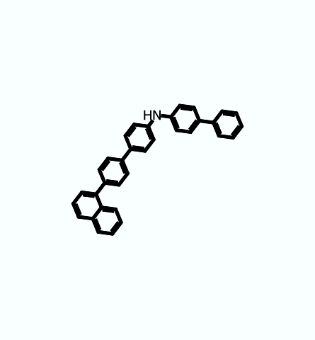 c1ccc(-c2ccc(Nc3ccc(-c4ccc(-c5cccc6ccccc56)cc4)cc3)cc2)cc1